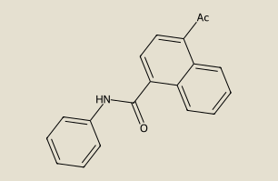 CC(=O)c1ccc(C(=O)Nc2ccccc2)c2ccccc12